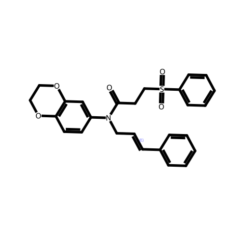 O=C(CCS(=O)(=O)c1ccccc1)N(C/C=C/c1ccccc1)c1ccc2c(c1)OCCO2